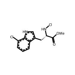 COC(=O)[C@H](Cc1c[nH]c2c(Cl)cccc12)NCl